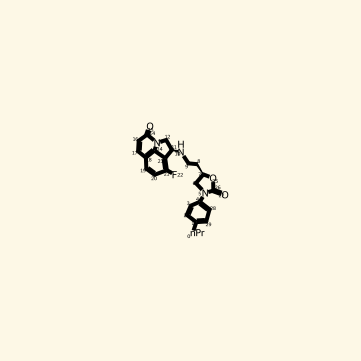 CCCc1ccc(N2C[C@@H](CCN[C@@H]3Cn4c(=O)ccc5ccc(F)c3c54)OC2=O)cc1